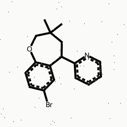 CC1(C)COc2ccc(Br)cc2[C](c2ccccn2)C1